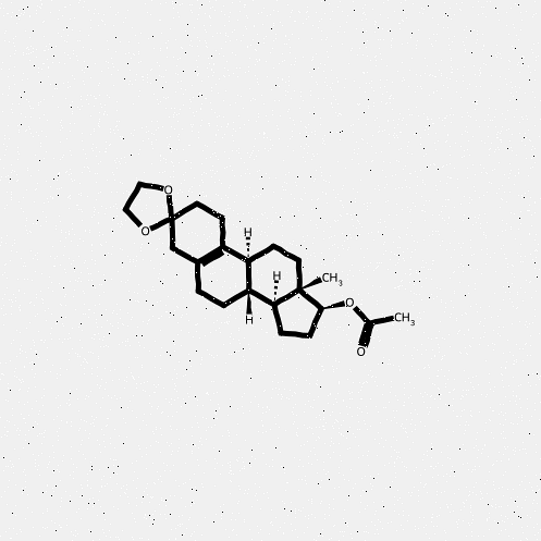 CC(=O)O[C@H]1CC[C@H]2[C@@H]3CCC4=C(CCC5(C4)OCCO5)[C@H]3CC[C@]12C